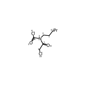 CC(C)CCN(C(=O)Cl)C(=O)CCl